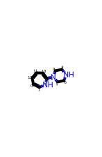 [C]1=CNC(N2CCNCC2)=CC=C1